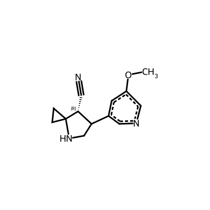 COc1cncc(C2CNC3(CC3)[C@@H]2C#N)c1